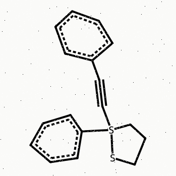 C(#CS1(c2ccccc2)CCCS1)c1ccccc1